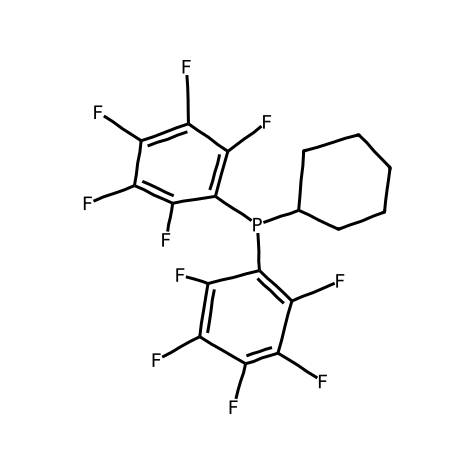 Fc1c(F)c(F)c(P(c2c(F)c(F)c(F)c(F)c2F)C2CCCCC2)c(F)c1F